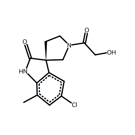 Cc1cc(Cl)cc2c1NC(=O)[C@@]21CCN(C(=O)CO)C1